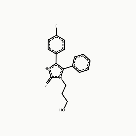 OCCCn1c(-c2ccncc2)c(-c2ccc(F)cc2)[nH]c1=S